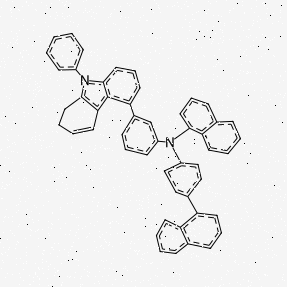 C1=Cc2c(n(-c3ccccc3)c3cccc(-c4cccc(N(c5ccc(-c6cccc7ccccc67)cc5)c5cccc6ccccc56)c4)c23)CC1